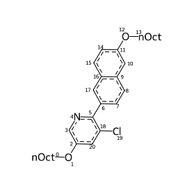 CCCCCCCCOc1cnc(-c2ccc3cc(OCCCCCCCC)ccc3c2)c(Cl)c1